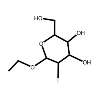 CCOC1OC(CO)C(O)C(O)C1I